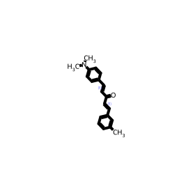 Cc1cccc(/C=C/C(=O)/C=C/c2ccc(N(C)C)cc2)c1